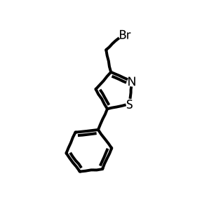 BrCc1cc(-c2ccccc2)sn1